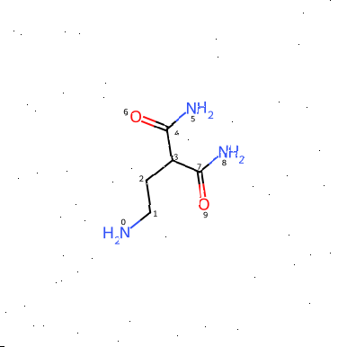 NCCC(C(N)=O)C(N)=O